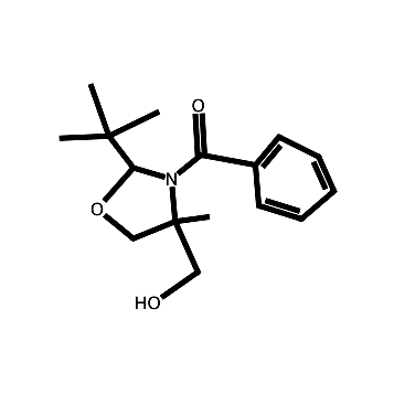 CC(C)(C)C1OCC(C)(CO)N1C(=O)c1ccccc1